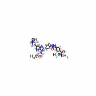 CC1CN(c2nc(-c3ccc(NC(=O)Nc4ccc(C(=O)N(C)C)cc4)cc3)nc3cc(C4C=NN(C)C4)cnc23)CCO1